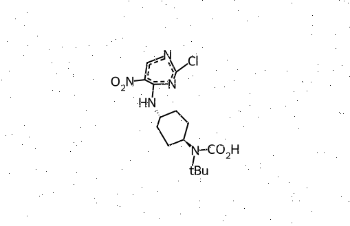 CC(C)(C)N(C(=O)O)[C@H]1CC[C@H](Nc2nc(Cl)ncc2[N+](=O)[O-])CC1